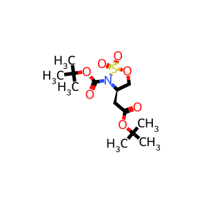 CC(C)(C)OC(=O)C[C@@H]1COS(=O)(=O)N1C(=O)OC(C)(C)C